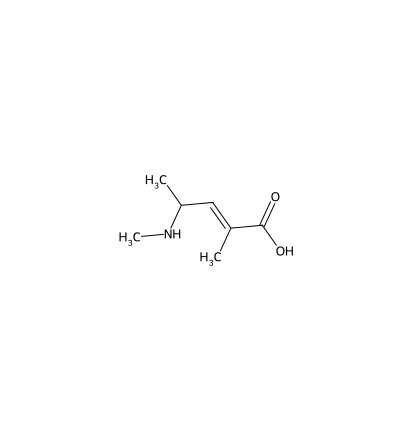 CNC(C)/C=C(\C)C(=O)O